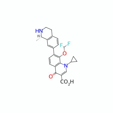 C[C@@H]1NCCc2ccc(-c3ccc4c(=O)c(C(=O)O)cn(C5CC5)c4c3OC(F)F)cc21